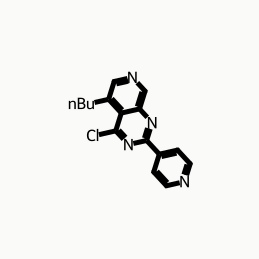 CCCCc1cncc2nc(-c3ccncc3)nc(Cl)c12